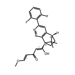 CO/C=C/C(=O)/C=C(\O)[C@@]12CC[C@@H](c3cc(-c4c(F)cccc4F)nnc31)C2(C)C